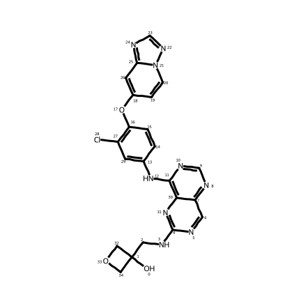 OC1(CNc2ncc3ncnc(Nc4ccc(Oc5ccn6ncnc6c5)c(Cl)c4)c3n2)COC1